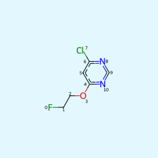 FCCOc1cc(Cl)ncn1